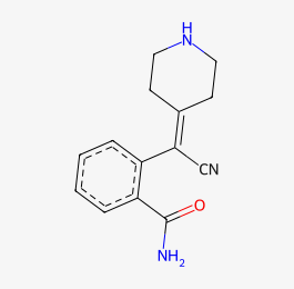 N#CC(=C1CCNCC1)c1ccccc1C(N)=O